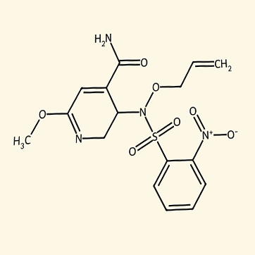 C=CCON(C1CN=C(OC)C=C1C(N)=O)S(=O)(=O)c1ccccc1[N+](=O)[O-]